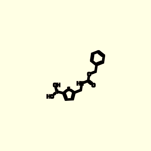 O=C(NCc1ccc(B(O)O)s1)OCc1ccccc1